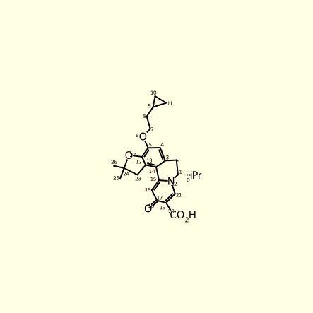 CC(C)[C@H]1Cc2cc(OCCC3CC3)c3c(c2-c2cc(=O)c(C(=O)O)cn21)CC(C)(C)O3